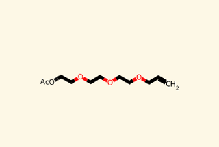 C=CCOCCOCCOCCOC(C)=O